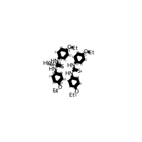 CCOc1ccc(NC(=S)Nc2ccc(OCC)cc2)cc1.CCOc1ccc(NC(=S)Nc2ccc(OCC)cc2)cc1.[KH].[NaH]